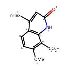 CCCCCCc1cc(=O)[nH]c2c(C(=O)O)c(OC)ccc12